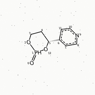 O=[PH]1OCC[C@H](c2ccncc2)O1